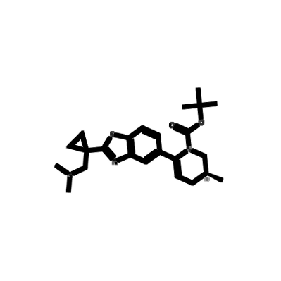 C[C@H]1CC=C(c2ccc3sc(C4(CN(C)C)CC4)nc3c2)N(C(=O)OC(C)(C)C)C1